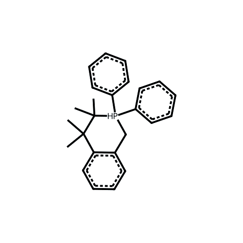 CC1(C)c2ccccc2C[PH](c2ccccc2)(c2ccccc2)C1(C)C